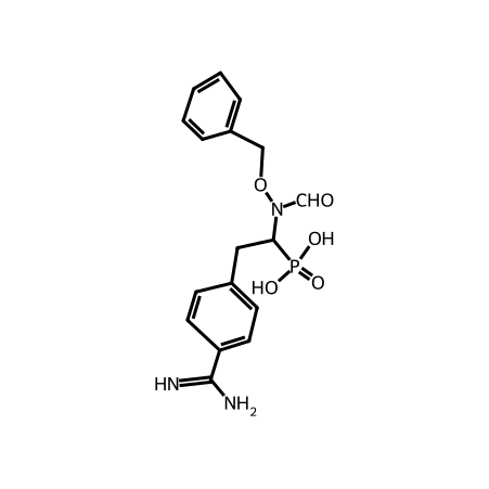 N=C(N)c1ccc(CC(N(C=O)OCc2ccccc2)P(=O)(O)O)cc1